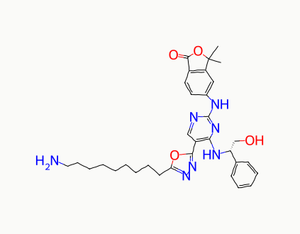 CC1(C)OC(=O)c2ccc(Nc3ncc(-c4nnc(CCCCCCCCCN)o4)c(N[C@H](CO)c4ccccc4)n3)cc21